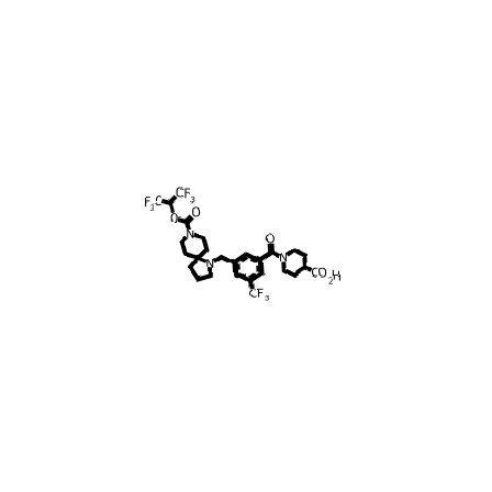 O=C(O)C1CCN(C(=O)c2cc(CN3CCCC34CCN(C(=O)OC(C(F)(F)F)C(F)(F)F)CC4)cc(C(F)(F)F)c2)CC1